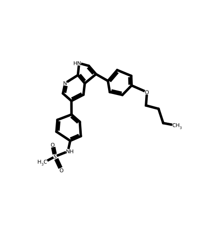 CCCCOc1ccc(-c2c[nH]c3ncc(-c4ccc(NS(C)(=O)=O)cc4)cc23)cc1